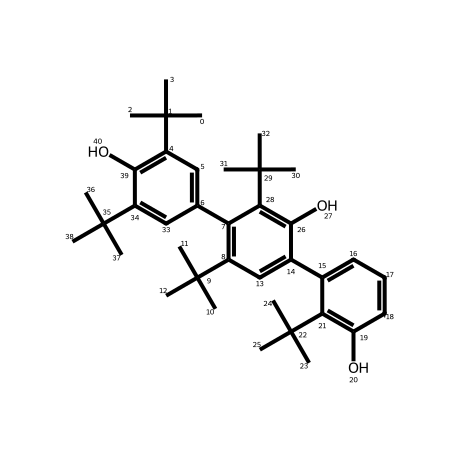 CC(C)(C)c1cc(-c2c(C(C)(C)C)cc(-c3cc[c]c(O)c3C(C)(C)C)c(O)c2C(C)(C)C)cc(C(C)(C)C)c1O